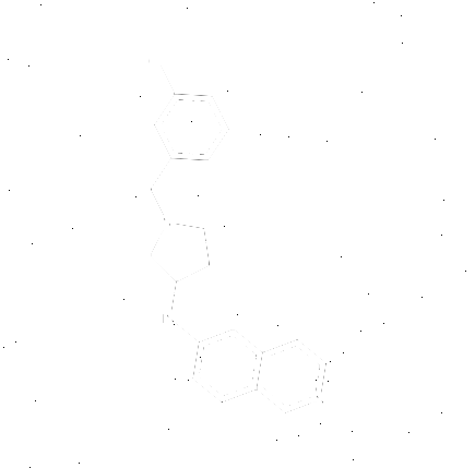 Clc1cccc(CN2CCC(Nc3ccc4cnccc4c3)C2)c1